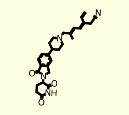 C=C/C(=C\C=C(/C)CN1CCC(c2ccc3c(c2)CN(C2CCC(=O)NC2=O)C3=O)CC1)CC#N